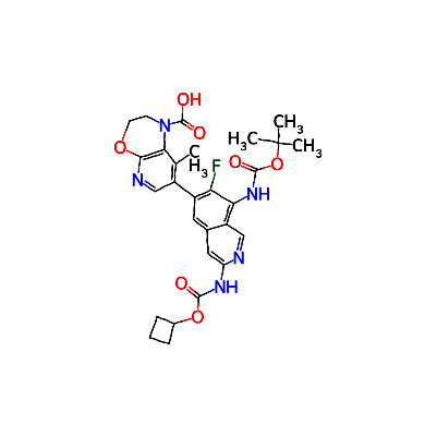 Cc1c(-c2cc3cc(NC(=O)OC4CCC4)ncc3c(NC(=O)OC(C)(C)C)c2F)cnc2c1N(C(=O)O)CCO2